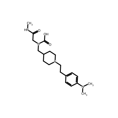 CNC(=O)CN(CC1CCN(CCc2ccc(N(C)C)cc2)CC1)C(=O)O